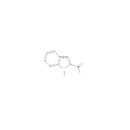 NC(=O)c1cc2ccccc2n1O